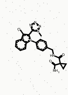 Cn1nnnc1-c1c(Cl)c2ccccc2n1-c1ccc(CNC(=O)C2(C(N)=O)CC2)cc1